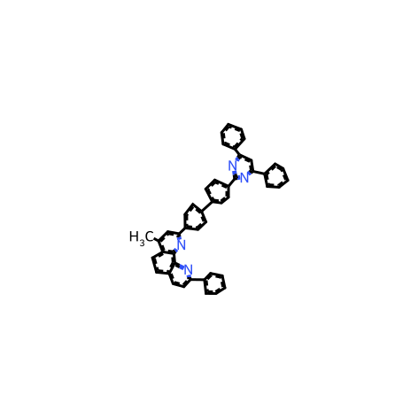 Cc1cc(-c2ccc(-c3ccc(-c4nc(-c5ccccc5)cc(-c5ccccc5)n4)cc3)cc2)nc2c1ccc1ccc(-c3ccccc3)nc12